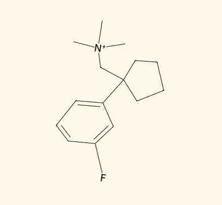 C[N+](C)(C)CC1(c2cccc(F)c2)CCCC1